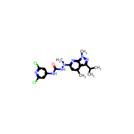 Cc1cc(N(C)NC(=O)Nc2cc(Cl)nc(Cl)c2)nc2c1c(C(C)C)nn2C